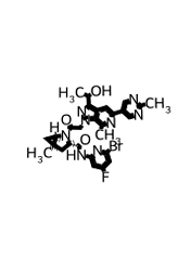 Cc1ncc(-c2cc3c(C(C)O)nn(CC(=O)N4[C@H](C(=O)Nc5cc(F)cc(Br)n5)C[C@@]5(C)C[C@@H]45)c3c(C)n2)cn1